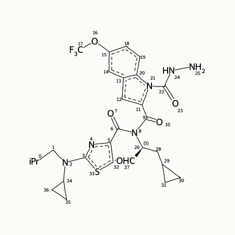 CC(C)CN(c1nc(C(=O)N(C(=O)c2cc3cc(OC(F)(F)F)ccc3n2C(=O)NN)[C@H]([C]=O)CC2CC2)cs1)C1CC1